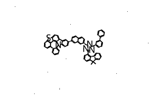 CC1(C)c2ccccc2-c2c(-c3nc(-c4cccc(-c5ccccc5)c4)nc(-c4ccc5ccc(-c6ccc7c(c6)c6ccc8sc9cccc%10c%11ccccc%11n7c6c8c9%10)cc5c4)n3)cccc21